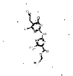 CCOC(=O)c1sc(Nc2nc(Cl)c(CC=O)c(Cl)n2)nc1C